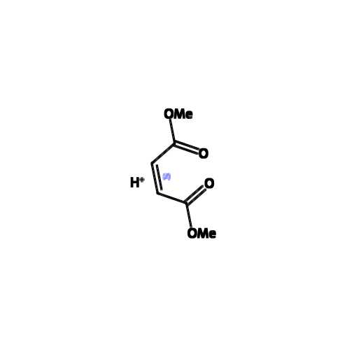 COC(=O)/C=C\C(=O)OC.[H+]